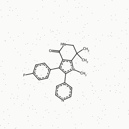 Cn1c(-c2ccncc2)c(-c2ccc(F)cc2)c2c1C(C)(C)CNC2=O